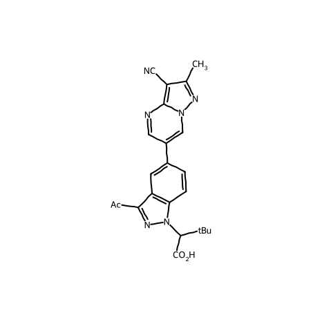 CC(=O)c1nn(C(C(=O)O)C(C)(C)C)c2ccc(-c3cnc4c(C#N)c(C)nn4c3)cc12